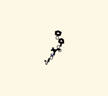 CN(C)CCO/N=C/C1C(C(=O)OCc2cccc(Oc3ccccc3)c2)C1(C)C